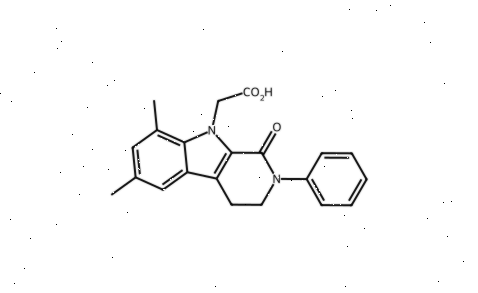 Cc1cc(C)c2c(c1)c1c(n2CC(=O)O)C(=O)N(c2ccccc2)CC1